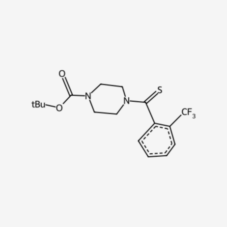 CC(C)(C)OC(=O)N1CCN(C(=S)c2ccccc2C(F)(F)F)CC1